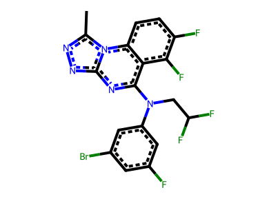 Cc1nnc2nc(N(CC(F)F)c3cc(F)cc(Br)c3)c3c(F)c(F)ccc3n12